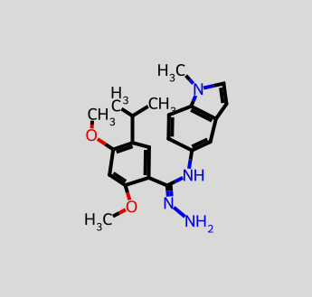 COc1cc(OC)c(C(C)C)cc1/C(=N/N)Nc1ccc2c(ccn2C)c1